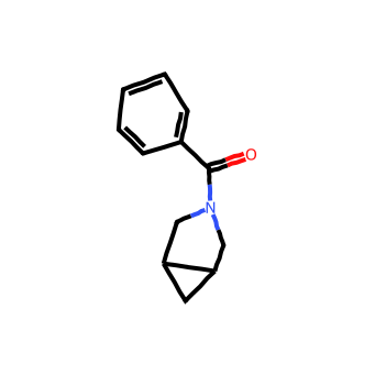 O=C(c1ccccc1)N1CC2CC2C1